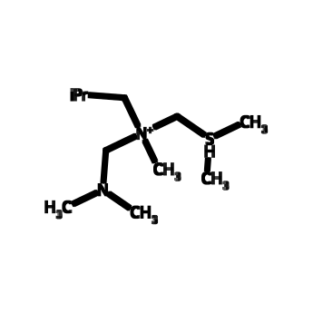 CC(C)C[N+](C)(CN(C)C)C[SH](C)C